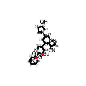 CC(C)(C)OC(=O)N1C2CC1CN(c1ccc(-c3cc(N4CC[C@H](O)C4)cn4ncc(C#N)c34)cn1)C2